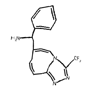 NC(c1ccccc1)c1ccc2nnc(C(F)(F)F)n2c1